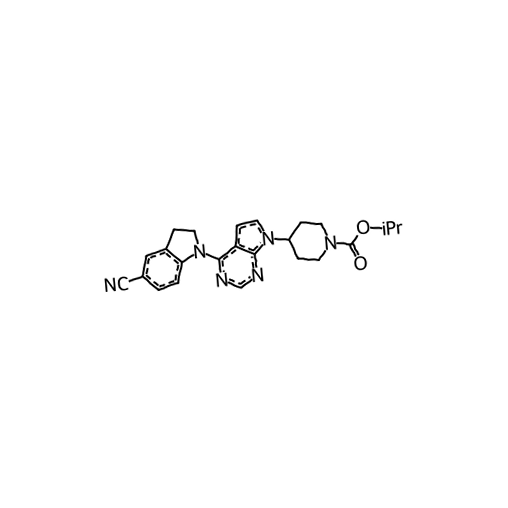 CC(C)OC(=O)N1CCC(n2ccc3c(N4CCc5cc(C#N)ccc54)ncnc32)CC1